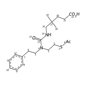 CC(=O)SCCN(CCc1ccccc1)C(=O)NCC(C)(C)CCC(=O)O